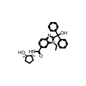 CCn1c(C(O)(c2ccccc2)c2ccccc2)nc2ccc(C(=O)N[C@@H]3CCC[C@H]3O)cc21